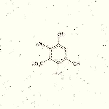 CCCc1c(C)cc(O)c(O)c1C(=O)O